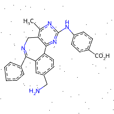 Cc1nc(Nc2ccc(C(=O)O)cc2)nc2c1CN=C(c1ccccc1)c1cc(CN)ccc1-2